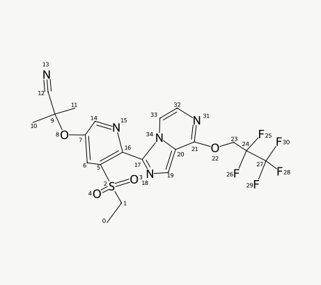 CCS(=O)(=O)c1cc(OC(C)(C)C#N)cnc1-c1ncc2c(OCC(F)(F)C(F)(F)F)nccn12